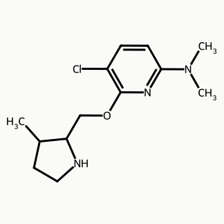 CC1CCNC1COc1nc(N(C)C)ccc1Cl